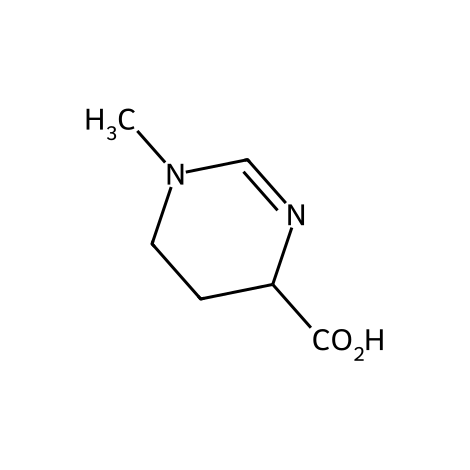 CN1C=NC(C(=O)O)CC1